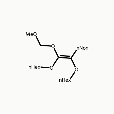 CCCCCCCCCC(OCCCCCC)=C(OCCCCCC)OCOC